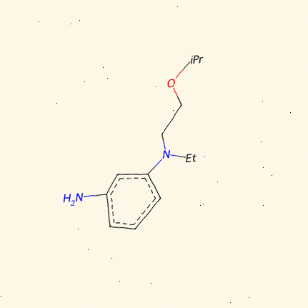 CCN(CCOC(C)C)c1cccc(N)c1